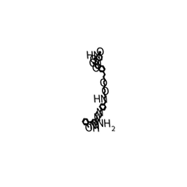 Nc1nnc(-c2ccccc2O)cc1N1CCN(c2ccc(CNCCOCCOCCCc3ccc4c(c3)oc(=O)n4C3CCC(=O)NC3=O)cc2)CC1